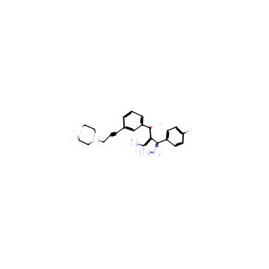 Nc1[nH]nc(-c2ccc(F)cc2)c1C(=O)c1cccc(C#CCN2CCOCC2)c1